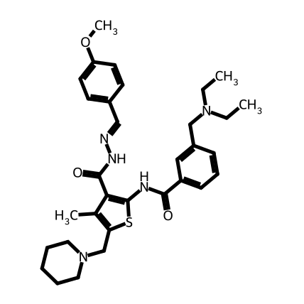 CCN(CC)Cc1cccc(C(=O)Nc2sc(CN3CCCCC3)c(C)c2C(=O)NN=Cc2ccc(OC)cc2)c1